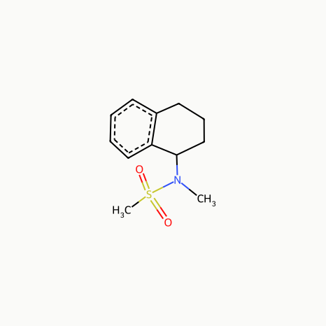 CN(C1CCCc2ccccc21)S(C)(=O)=O